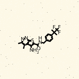 Cc1nnc2sc(C(=O)NCc3ccc(C(C)(C)C(F)(F)F)cc3)c(N)c2c1C